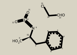 O=C(O)[C@H](Cc1ccccc1)N=S(=O)=O.O=CCCl